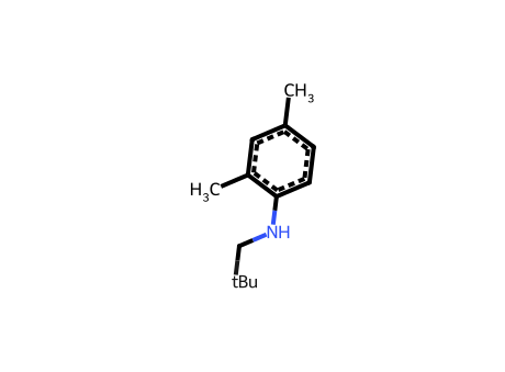 Cc1ccc(NCC(C)(C)C)c(C)c1